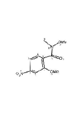 COc1cc([N+](=O)[O-])ccc1C(=O)N(C)OC